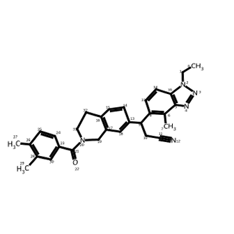 CCn1nnc2c(C)c(C(CC#N)c3ccc4c(c3)CN(C(=O)c3ccc(C)c(C)c3)CC4)ccc21